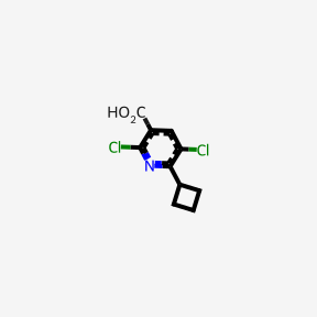 O=C(O)c1cc(Cl)c(C2CCC2)nc1Cl